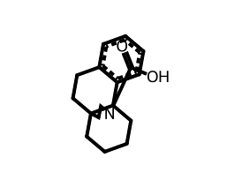 O=C(O)N1CCC23CCCCC12c1ccccc1CC3